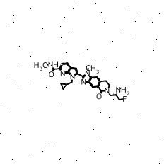 CNC(=O)c1ccc2cc(-c3nc4cc5c(cc4n3C)CCN(C[C@H](N)CF)C5=O)n(CC3CC3)c2n1